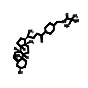 CC(CCC(=O)N1CCC(CNC(=O)C(C)(C)O)CC1)[C@H]1CC[C@H]2[C@@H]3CC=C4C[C@@H](O)CC[C@]4(C)[C@H]3CC[C@]12C